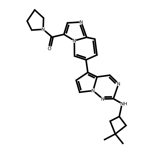 CC1(C)CC(Nc2ncc3c(-c4ccc5ncc(C(=O)N6CCCC6)n5c4)ccn3n2)C1